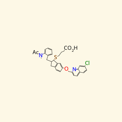 CC(=O)N(C)c1ccccc1CC1Cc2ccc(OCc3ccc4ccc(Cl)cc4n3)cc2C1SCCCC(=O)O